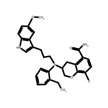 CCc1ccccc1N(CCCc1c[nH]c2ccc(OC)cc12)C1COc2c(F)ccc(C(N)=O)c2C1